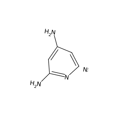 Nc1ccnc(N)c1.[N]